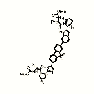 COC(=O)N[C@H](C(=O)N1[C@@H]2CC[C@@H](C2)[C@H]1c1nc2ccc(-c3ccc4c(c3)C(F)(F)c3cc(-c5cnc([C@@H]6C[C@H](C#N)CN6C(=O)[C@H](NC(=O)OC)C(C)C)[nH]5)ccc3-4)cc2[nH]1)C(C)C